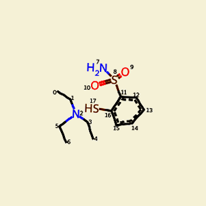 CCN(CC)CC.NS(=O)(=O)c1ccccc1S